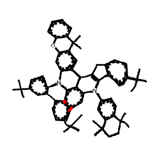 Cc1cc2c3c(c1)N(c1ccc(C(C)(C)C)cc1-c1ccc(C(C)(C)C)cc1)c1cc4c(cc1C3C1=C(c3cc(C(C)(C)C)ccc3C1)N2c1ccc2c(c1)C(C)(C)CCC2(C)C)C(C)(C)c1ccccc1O4